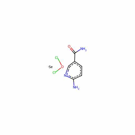 ClOCl.NC(=O)c1ccc(N)nc1.[Se]